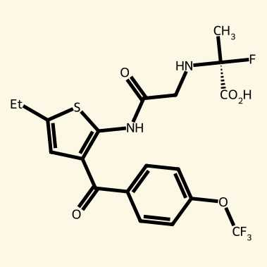 CCc1cc(C(=O)c2ccc(OC(F)(F)F)cc2)c(NC(=O)CN[C@@](C)(F)C(=O)O)s1